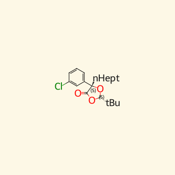 CCCCCCC[C@@]1(c2cccc(Cl)c2)O[C@H](C(C)(C)C)OC1=O